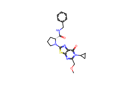 COCc1nc2sc(N3CCC[C@@H]3C(=O)NCc3ccccc3)nc2c(=O)n1C1CC1